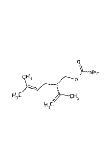 C=C(C)C(CC=C(C)C)COC(=O)CCC